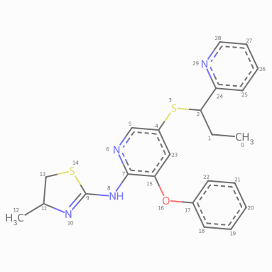 CCC(Sc1cnc(NC2=NC(C)CS2)c(Oc2ccccc2)c1)c1ccccn1